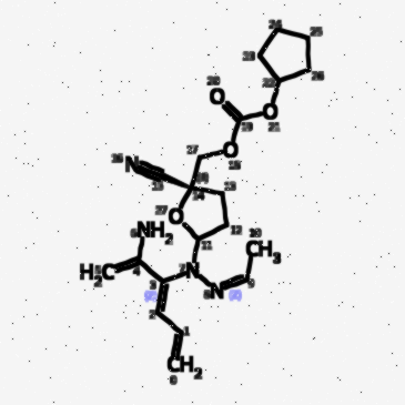 C=C/C=C(/C(=C)N)N(/N=C\C)C1CC[C@@](C#N)(COC(=O)OC2CCCC2)O1